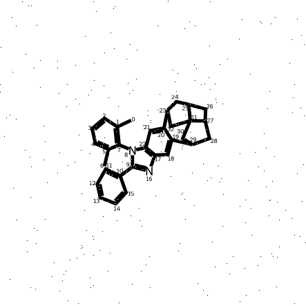 Cc1cccc(C)c1-n1c(-c2ccccc2)nc2cc3c(cc21)C1CC2CC4CC3CC42C1